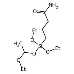 CCOC(C)O[Si](CCCC(N)=O)(OCC)OCC